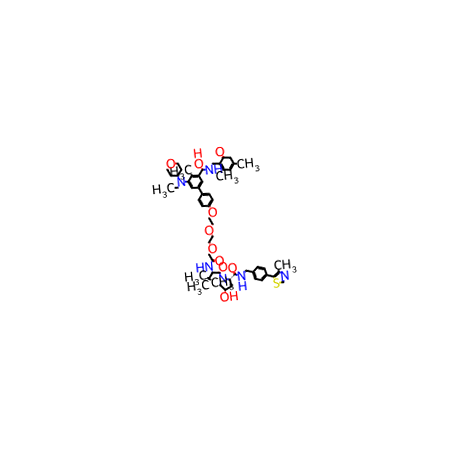 CCN(c1cc(-c2ccc(OCCOCCOCC(=O)N[C@H](C(=O)N3C[C@H](O)C[C@H]3C(=O)NCc3ccc(-c4scnc4C)cc3)C(C)(C)C)cc2)cc(C(O)NCC2=C(C)C=C(C)CC2=O)c1C)C1CCOCC1